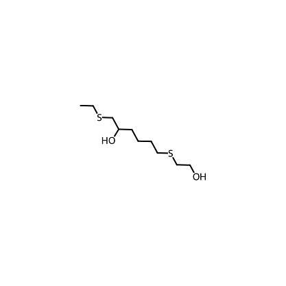 CCSCC(O)CCCCSCCO